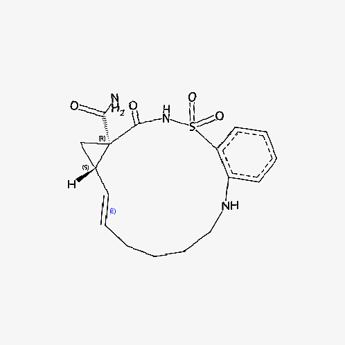 NC(=O)[C@@]12C[C@H]1/C=C/CCCCNc1ccccc1S(=O)(=O)NC2=O